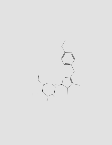 CCc1ccc(CC2=C(C)C(C)C([C@@H]3O[C@H](CO)[C@@H](O)[C@H](O)[C@H]3O)S2)cc1